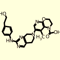 Cc1c(N2CCc3cnc(Nc4ccc(CCO)cc4)nc3C2)cnc2c1N(C(=O)O)CCO2